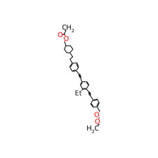 C=COCOCc1ccc(C#Cc2ccc(C#Cc3ccc(CCC4CCC(COC(=O)C=C)CC4)cc3)cc2CC)cc1